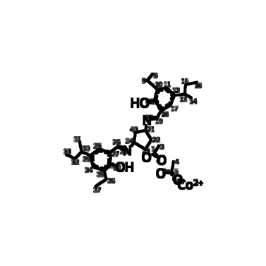 CC(=O)[O-].CC(=O)[O-].CCc1cc(C(C)CC)cc(C=NC2CCC(N=Cc3cc(C(C)CC)cc(CC)c3O)C2)c1O.[Co+2]